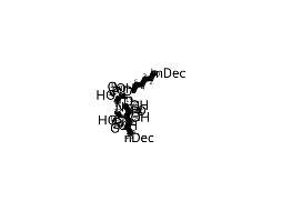 CCCCCCCCCCCCCCCCOCC(CN(CCP(=O)(O)O)C(=O)C(CCCCCCCCCCCCCC)P(=O)(O)O)P(=O)(O)O